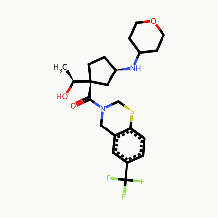 C[C@H](O)[C@]1(C(=O)N2CSc3ccc(C(F)(F)F)cc3C2)CC[C@@H](NC2CCOCC2)C1